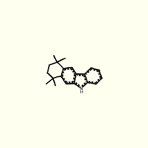 CC1(C)CCC(C)(C)c2cc3c(cc21)[nH]c1ccccc13